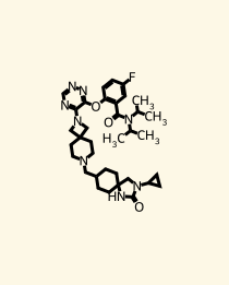 CC(C)N(C(=O)c1cc(F)ccc1Oc1nncnc1N1CC2(CCN(CC3CCC4(CC3)CN(C3CC3)C(=O)N4)CC2)C1)C(C)C